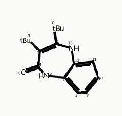 CC(C)(C)C1=C(C(C)(C)C)C(=O)Nc2ccccc2N1